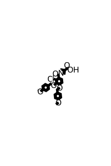 COc1ccc(COc2ccc(C(=O)N3CC(C(=O)O)C3)c(Cl)c2OCc2ccc(OC)cc2)cc1